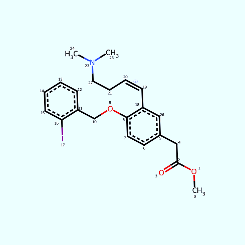 COC(=O)Cc1ccc(OCc2ccccc2I)c(/C=C\CCN(C)C)c1